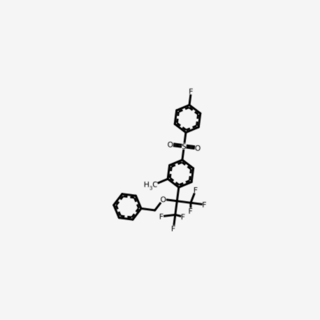 Cc1cc(S(=O)(=O)c2ccc(F)cc2)ccc1C(OCc1ccccc1)(C(F)(F)F)C(F)(F)F